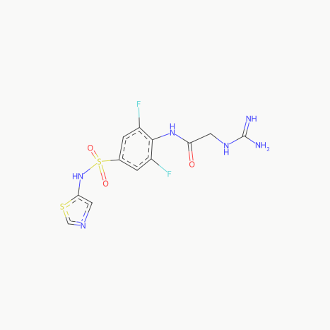 N=C(N)NCC(=O)Nc1c(F)cc(S(=O)(=O)Nc2cncs2)cc1F